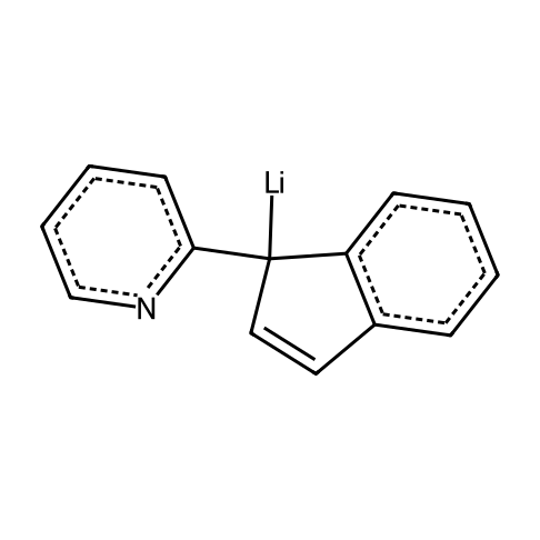 [Li][C]1(c2ccccn2)C=Cc2ccccc21